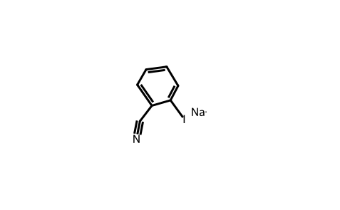 N#Cc1ccccc1I.[Na]